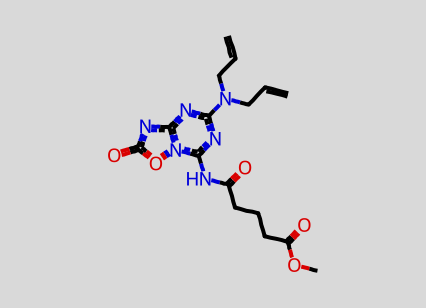 C=CCN(CC=C)c1nc(NC(=O)CCCC(=O)OC)n2oc(=O)nc2n1